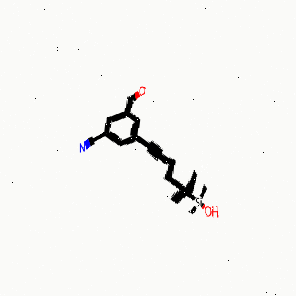 CC(C)(CCC#Cc1cc(C#N)cc(C=O)c1)[Si](C)(C)O